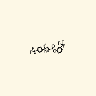 CCC1(c2ccc(C(F)(F)F)cc2)C=C(C(=O)Oc2cccc(C(F)(F)F)c2)C=N1